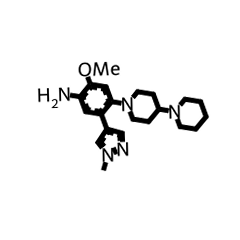 COc1cc(N2CCC(N3CCCCC3)CC2)c(-c2cnn(C)c2)cc1N